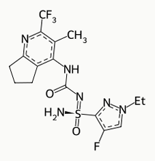 CCn1cc(F)c([S@](N)(=O)=NC(=O)Nc2c(C)c(C(F)(F)F)nc3c2CCC3)n1